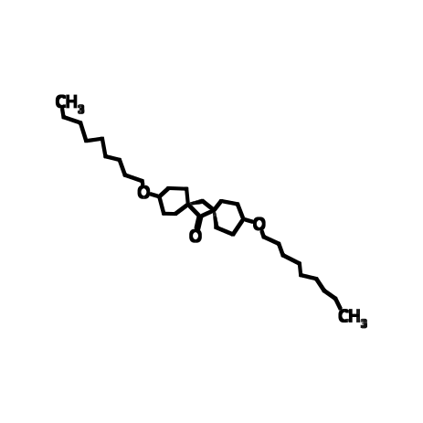 CCCCCCCCCOC1CC[C@]2(CC1)C[C@@]1(CCC(OCCCCCCCCC)CC1)C2=O